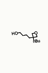 CCCCC1(CCCCO)COC1